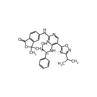 CC(C)c1noc(-c2cnc(Nc3ccc4c(c3)C(C)(C)OC4=O)nc2N[C@H](CO)c2ccccc2)n1